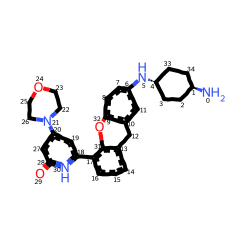 N[C@H]1CC[C@H](Nc2ccc3c(c2)Cc2cccc(-c4cc(N5CCOCC5)cc(=O)[nH]4)c2O3)CC1